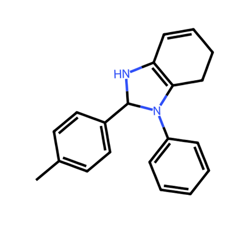 Cc1ccc(C2NC3=C(CCC=C3)N2c2ccccc2)cc1